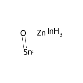 [InH3].[O]=[Sn].[Zn]